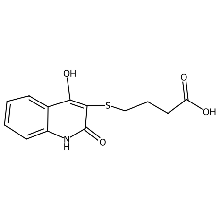 O=C(O)CCCSc1c(O)c2ccccc2[nH]c1=O